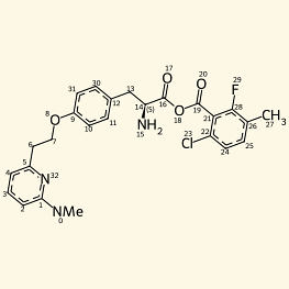 CNc1cccc(CCOc2ccc(C[C@H](N)C(=O)OC(=O)c3c(Cl)ccc(C)c3F)cc2)n1